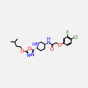 CC(C)CCOc1nnc([C@H]2CC[C@H](NC(=O)COc3ccc(Cl)c(F)c3)CN2)o1